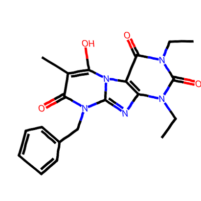 CCn1c(=O)c2c(nc3n(Cc4ccccc4)c(=O)c(C)c(O)n23)n(CC)c1=O